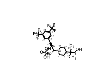 CC(C)(CO)C1CCN(CC#Cc2cc(C(F)(F)F)cc(C(F)(F)F)c2)CC1.O=S(=O)(O)O